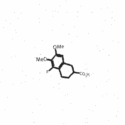 COc1cc2c(c(F)c1OC)CCC(C(=O)O)C2